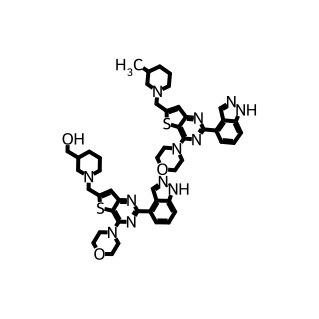 CC1CCCN(Cc2cc3nc(-c4cccc5[nH]ncc45)nc(N4CCOCC4)c3s2)C1.OCC1CCCN(Cc2cc3nc(-c4cccc5[nH]ncc45)nc(N4CCOCC4)c3s2)C1